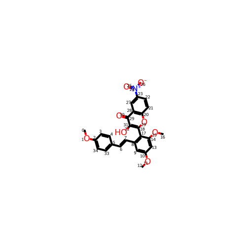 COc1ccc(C=Cc2cc(OC)cc(OC)c2-c2oc3ccc([N+](=O)[O-])cc3c(=O)c2O)cc1